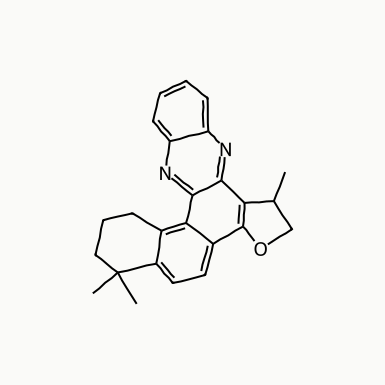 CC1COc2c1c1nc3ccccc3nc1c1c3c(ccc21)C(C)(C)CCC3